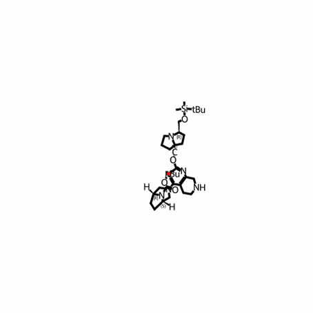 CC(C)(C)OC(=O)N1[C@@H]2CC[C@H]1CN(c1nc(OC[C@]34CCCN3[C@@H](CO[Si](C)(C)C(C)(C)C)CC4)nc3c1CCNC3)C2